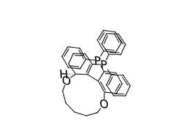 C1=CC(P(c2ccccc2)c2ccccc2)=C2c3c(cccc3P(c3ccccc3)c3ccccc3)OCCCCCO[C@H]2C1